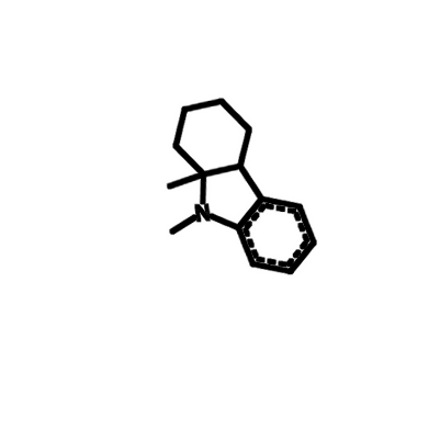 CN1c2ccccc2C2CCCCC21C